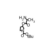 CC(N)C(=O)OC1CCN(C(=O)OC(C)(C)C)C1